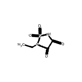 CCN1C(=O)C(=O)NS1(=O)=O